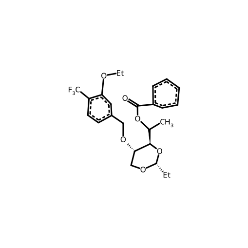 CCOc1cc(CO[C@H]2CO[C@@H](CC)O[C@@H]2C(C)OC(=O)c2ccccc2)ccc1C(F)(F)F